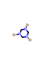 BrN1CN(Br)CN(Br)C1